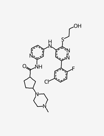 CN1CCN(C2CCC(C(=O)Nc3cc(Nc4cc(-c5cc(Cl)ccc5F)nnc4SCCO)ccn3)C2)CC1